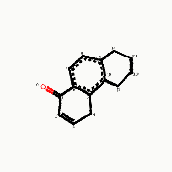 O=C1C=CCc2c1ccc1c2CCCC1